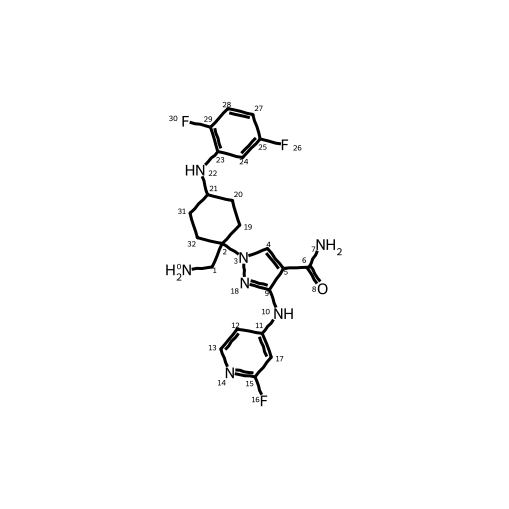 NCC1(n2cc(C(N)=O)c(Nc3ccnc(F)c3)n2)CCC(Nc2cc(F)ccc2F)CC1